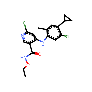 CCONC(=O)c1cnc(Cl)cc1Nc1cc(Cl)c(C2CC2)cc1C